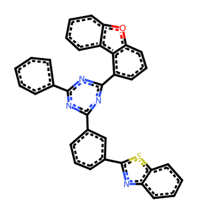 c1ccc(-c2nc(-c3cccc(-c4nc5ccccc5s4)c3)nc(-c3cccc4oc5ccccc5c34)n2)cc1